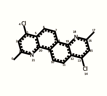 Cc1cc(Cl)c2ccc3c(ccc4c(Cl)cc(C)nc43)c2n1